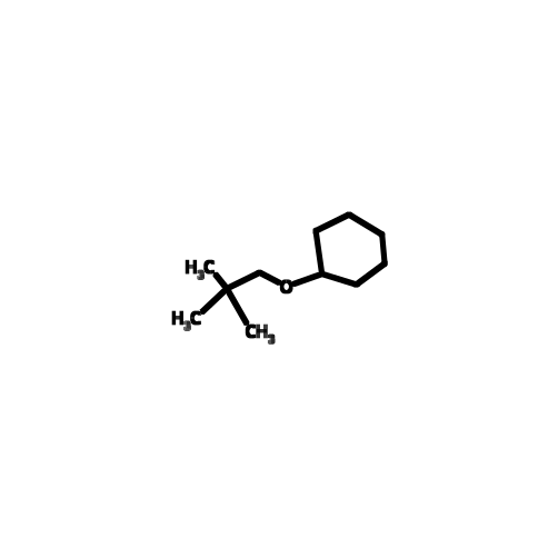 CC(C)(C)COC1CCCCC1